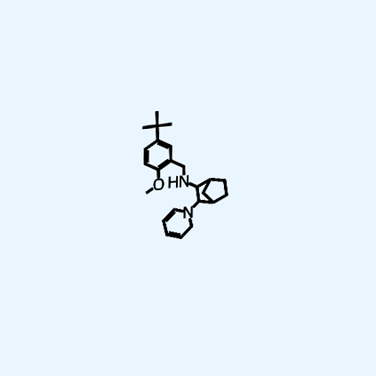 COc1ccc(C(C)(C)C)cc1CNC1C2CCC(C2)C1N1C=CC=CC1